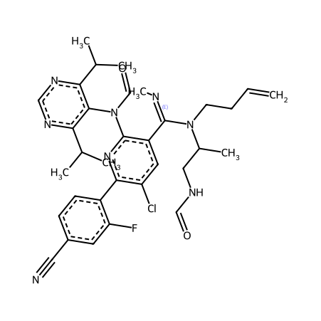 C=CCCN(/C(=N/C)c1cc(Cl)c(-c2ccc(C#N)cc2F)nc1N(C=O)c1c(C(C)C)ncnc1C(C)C)C(C)CNC=O